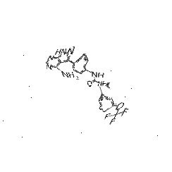 Nc1ncnc2[nH]nc(-c3ccc(NC(=O)Nc4cccc(OC(F)(F)F)c4)cc3)c12